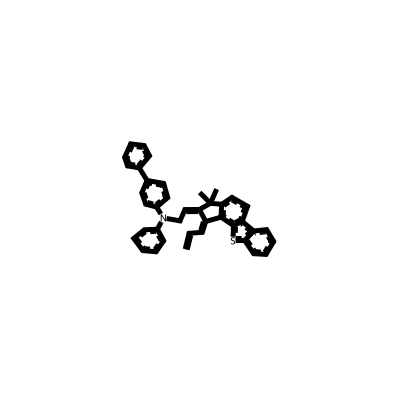 C=C/C=C1\C(=C/CN(c2ccccc2)c2ccc(-c3ccccc3)cc2)C(C)(C)c2ccc3c(sc4ccccc43)c21